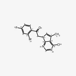 Cc1cn(CC(=O)c2ccc(F)cc2Br)c2ncnc(Cl)c12